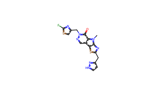 Cn1c2nc(Cc3cc[nH]n3)sc2c2cnn(Cc3csc(F)n3)c(=O)c21